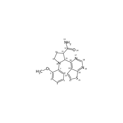 COc1ccccc1N1CCC(C(N)=O)C1c1ncnc2sccc12